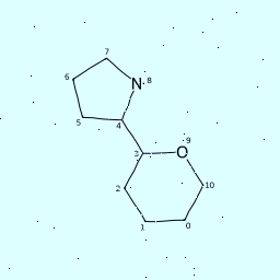 C1CCC(C2CCC[N]2)OC1